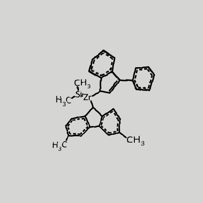 Cc1ccc2c(c1)-c1cc(C)ccc1[CH]2[Zr]([CH]1C=C(c2ccccc2)c2ccccc21)=[Si](C)C